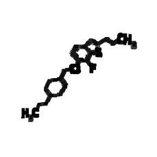 CCCc1cc2ccc(OCC3CCC(CCC)CC3)c(F)c2s1